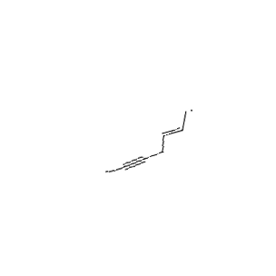 [CH2]C=CCC#CC